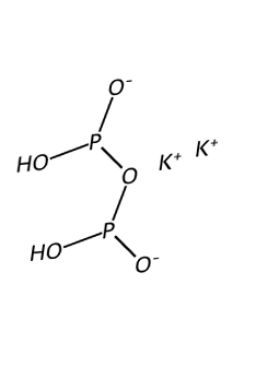 [K+].[K+].[O-]P(O)OP([O-])O